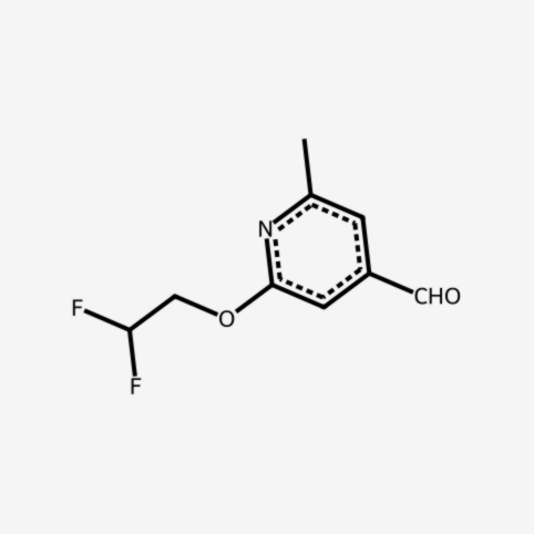 Cc1cc(C=O)cc(OCC(F)F)n1